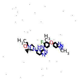 C=CC(=O)N1CCN(c2ccc3ncnc(Nc4ccc(Oc5ccc6c(c5)nnn6C)c(C)c4F)c3n2)C[C@@H]1C1CC1